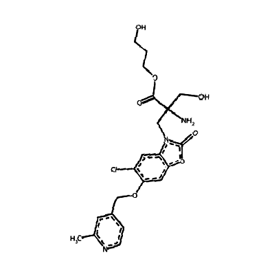 Cc1cc(COc2cc3oc(=O)n(CC(N)(CO)C(=O)OCCCO)c3cc2Cl)ccn1